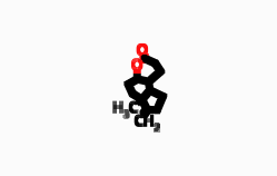 C=C1CCC2C3CCC(=O)OC3CCC12C